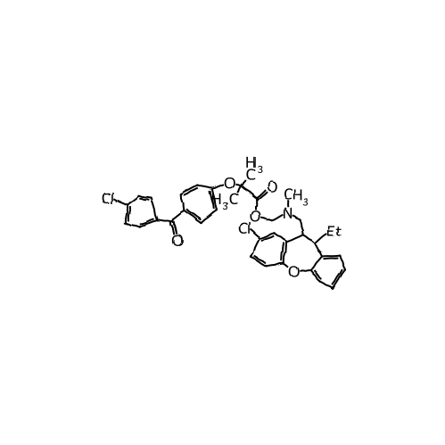 CCC1c2ccccc2Oc2ccc(Cl)cc2C1CN(C)COC(=O)C(C)(C)Oc1ccc(C(=O)c2ccc(Cl)cc2)cc1